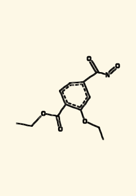 CCOC(=O)c1ccc(C(=O)N=O)cc1OCC